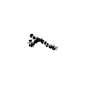 CC(C)n1cnc2cc(-c3ccc4c(c3)N([C@H]3C[C@@H](N5CCCCC5)C3)C(=O)C43CCN(C(=O)C4(C)CCN(C(=O)CN5CCN(c6ccc(C7CCC(=O)NC7=O)cn6)CC5)CC4)CC3)nc(NC3CC3)c21